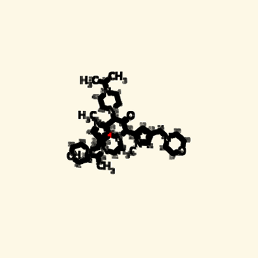 CC(C)N1CCN(C(C(=O)C(c2cc(CN3CCOCC3)cn2C)N2CCN(C(C)C)CC2)c2cc(CN3CCOCC3)cn2C)CC1